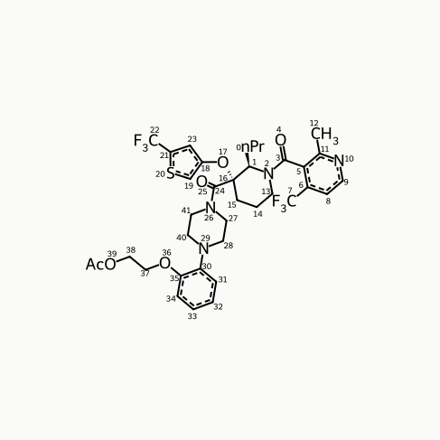 CCC[C@H]1N(C(=O)c2c(C(F)(F)F)ccnc2C)CCC[C@@]1(Oc1csc(C(F)(F)F)c1)C(=O)N1CCN(c2ccccc2OCCOC(C)=O)CC1